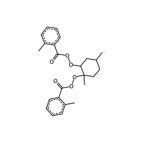 [CH2]C1CCC([CH2])(OOC(=O)c2ccccc2C)C(OOC(=O)c2ccccc2C)C1